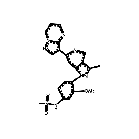 COc1cc(NS(C)(=O)=O)ccc1-n1nc(C)c2cnc(-c3cnn4cccnc34)cc21